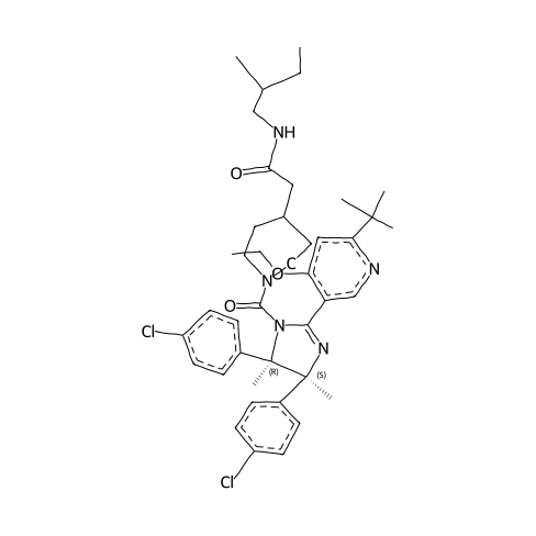 CCOc1cc(C(C)(C)C)ncc1C1=N[C@@](C)(c2ccc(Cl)cc2)[C@@](C)(c2ccc(Cl)cc2)N1C(=O)N1CCC(CC(=O)NCC(C)CC)CC1